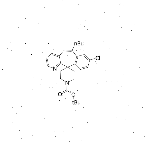 CCCCC1=Cc2cccnc2C2(CCN(C(=O)OC(C)(C)C)CC2)c2ccc(Cl)cc21